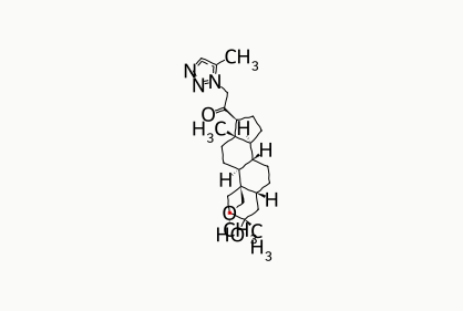 COC[C@]12CC[C@@](C)(O)C[C@H]1CC[C@H]1[C@@H]3CC[C@H](C(=O)Cn4nncc4C)[C@@]3(C)CC[C@@H]12